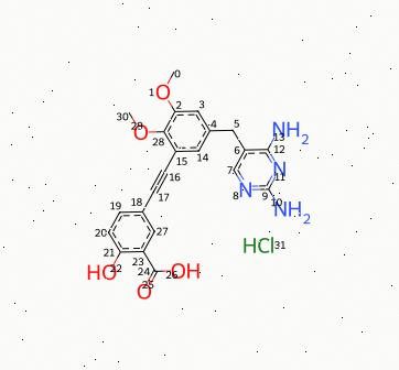 COc1cc(Cc2cnc(N)nc2N)cc(C#Cc2ccc(O)c(C(=O)O)c2)c1OC.Cl